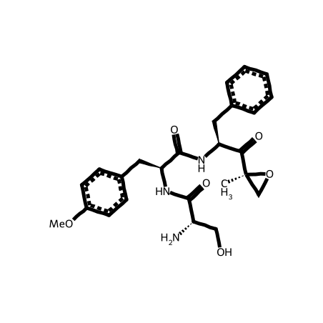 COc1ccc(C[C@H](NC(=O)[C@@H](N)CO)C(=O)N[C@@H](Cc2ccccc2)C(=O)[C@]2(C)CO2)cc1